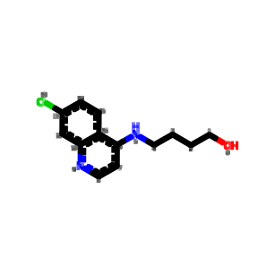 OCCCCNc1ccnc2cc(Cl)ccc12